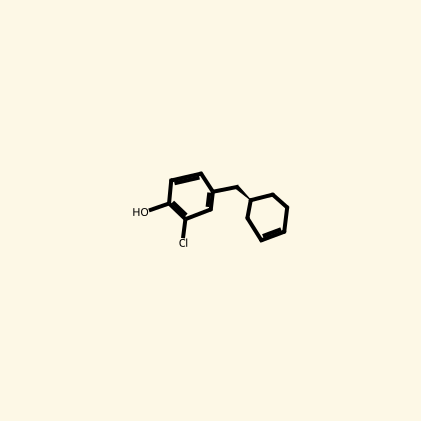 Oc1ccc(C[C@@H]2CC=CCC2)cc1Cl